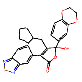 O=C1OC(O)(c2ccc3c(c2)OCCO3)C(CC2CCCC2)=C1c1ccc2nsnc2c1